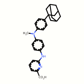 CN(c1ccc(Nc2cccc(C(=O)O)n2)cc1)c1ccc(C23CC4CC(CC(C4)C2)C3)cc1